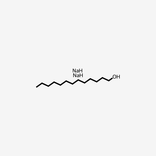 CCCCCCCCCCCCCO.[NaH].[NaH]